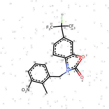 Cc1c(Cn2c(=O)oc3cc(C(F)(C(F)(F)F)C(F)(F)F)ccc32)cccc1[N+](=O)[O-]